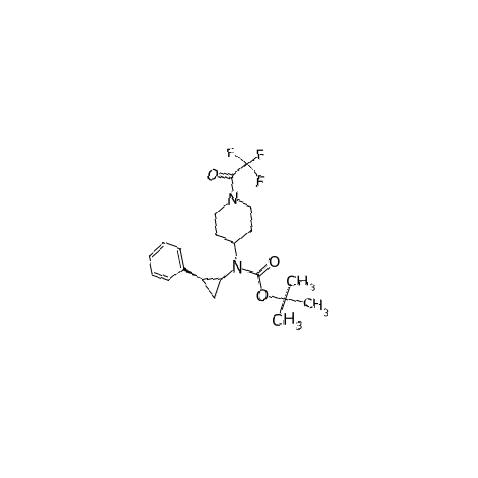 CC(C)(C)OC(=O)N(C1CCN(C(=O)C(F)(F)F)CC1)C1C[C@H]1c1ccccc1